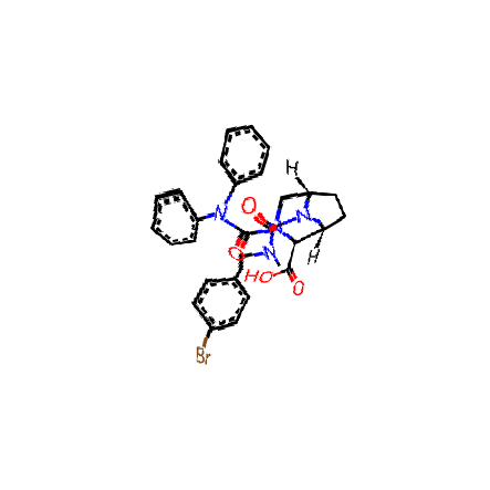 CN(Cc1ccc(Br)cc1)C(=O)N1[C@H]2CC[C@@H]1[C@@H](C(=O)O)N(C(=O)N(c1ccccc1)c1ccccc1)C2